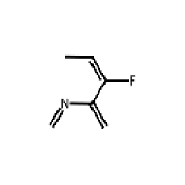 C=NC(=C)/C(F)=C\C